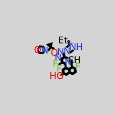 C#Cc1c(F)ccc2cc(O)cc(-c3ncc4c(N5CCN/C(=C/CC)C5)nc(OCC5(CN6CCOCC6)CC5)nc4c3C(F)F)c12